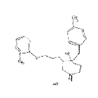 Cc1ccc(CC2(O)CCNCC2CCCOc2ccccc2O)cc1.Cl